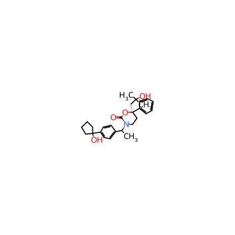 C[C@@H](c1ccc(C2(O)CCCC2)cc1)N1CC[C@](CC(C)(C)O)(c2ccccc2)OC1=O